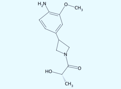 COc1cc(C2CN(C(=O)[C@H](C)O)C2)ccc1N